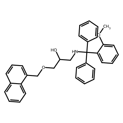 COc1ccccc1C(NCC(O)COCc1cccc2ccccc12)(c1ccccc1)c1ccccc1